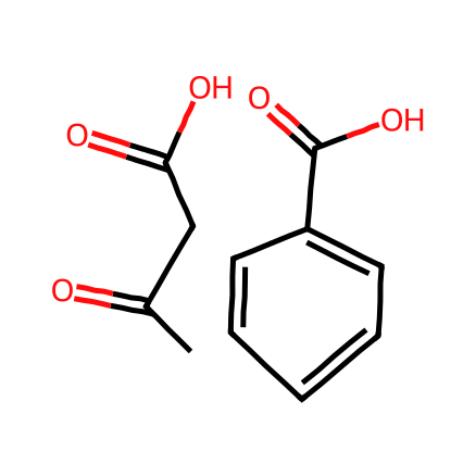 CC(=O)CC(=O)O.O=C(O)c1ccccc1